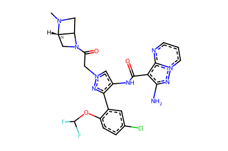 CN1CC2[C@@H]1CN2C(=O)Cn1cc(NC(=O)c2c(N)nn3cccnc23)c(-c2cc(Cl)ccc2OC(F)F)n1